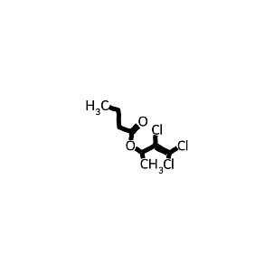 CCCC(=O)OC(C)C(Cl)=C(Cl)Cl